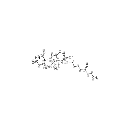 C#C[C@]1(C)[C@@H]2O[P@@](=O)(OCCCCC(=O)OCC)OCC2O[C@H]1n1ccc(=O)[nH]c1=O